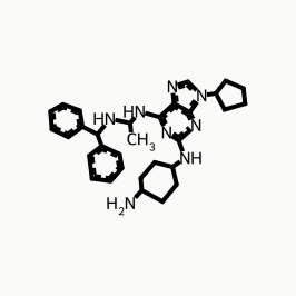 CC(Nc1nc(NC2CCC(N)CC2)nc2c1ncn2C1CCCC1)NC(c1ccccc1)c1ccccc1